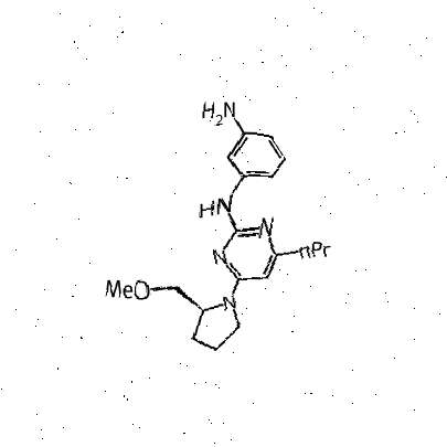 CCCc1cc(N2CCC[C@H]2COC)nc(Nc2cccc(N)c2)n1